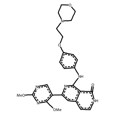 COc1ncc(-c2cc3cc[nH]c(=O)c3c(Nc3ccc(OCCN4CCOCC4)cc3)n2)c(OC)n1